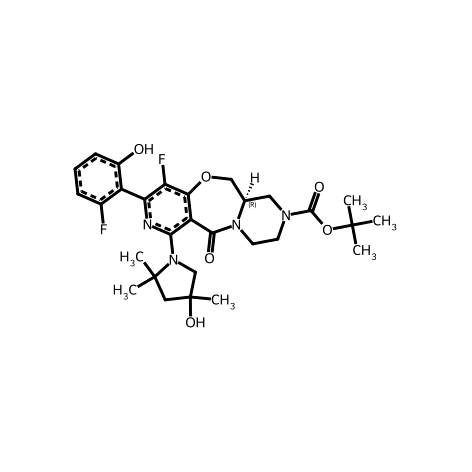 CC1(O)CN(c2nc(-c3c(O)cccc3F)c(F)c3c2C(=O)N2CCN(C(=O)OC(C)(C)C)C[C@@H]2CO3)C(C)(C)C1